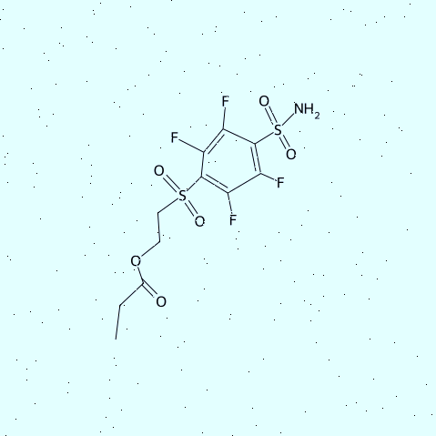 CCC(=O)OCCS(=O)(=O)c1c(F)c(F)c(S(N)(=O)=O)c(F)c1F